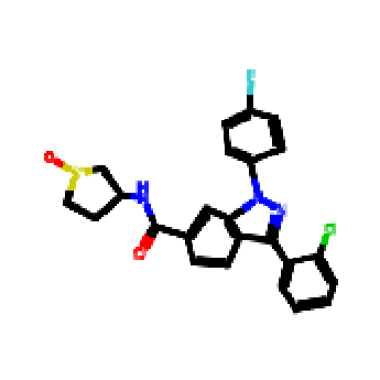 O=C(NC1CC[S+]([O-])C1)c1ccc2c(-c3ccccc3Cl)nn(-c3ccc(F)cc3)c2c1